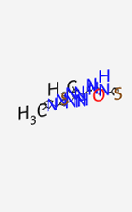 Cc1cn2c(-c3cnn(CC(=O)NCc4ccsc4)c3)cnc2c(Nc2cc(CN3CCCC(C)C3)ns2)n1